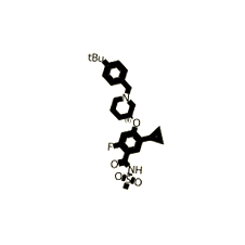 CC(C)(C)c1ccc(CN2CCC[C@@H](Oc3cc(F)c(C(=O)NS(C)(=O)=O)cc3C3CC3)C2)cc1